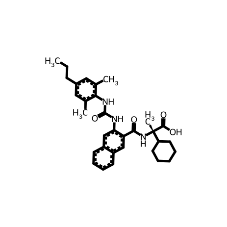 CCCc1cc(C)c(NC(=O)Nc2cc3ccccc3cc2C(=O)N[C@](C)(C(=O)O)C2CCCCC2)c(C)c1